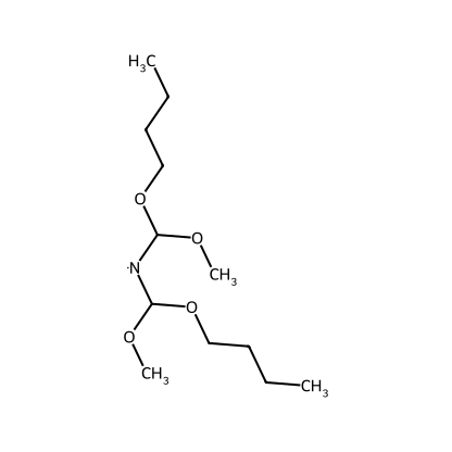 CCCCOC([N]C(OC)OCCCC)OC